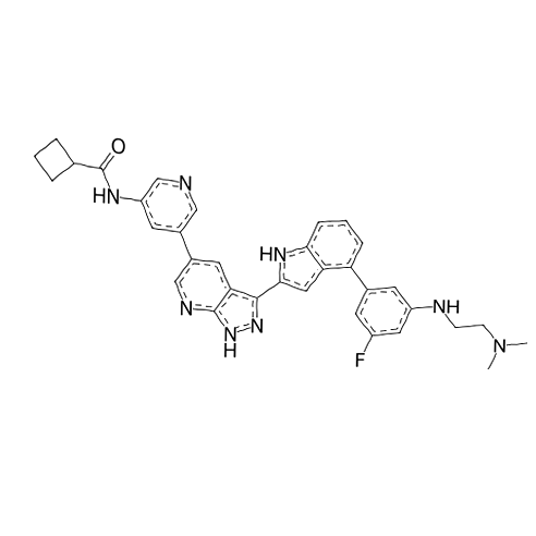 CN(C)CCNc1cc(F)cc(-c2cccc3[nH]c(-c4n[nH]c5ncc(-c6cncc(NC(=O)C7CCC7)c6)cc45)cc23)c1